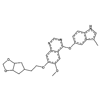 COc1cc2c(Oc3ccc4[nH]cc(C)c4c3)ncnc2cc1OCCC1CC2OCOC2C1